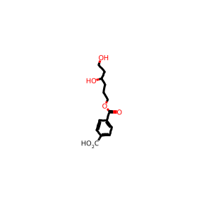 O=C(O)c1ccc(C(=O)OCCCC(O)CCO)cc1